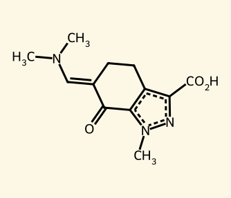 CN(C)/C=C1\CCc2c(C(=O)O)nn(C)c2C1=O